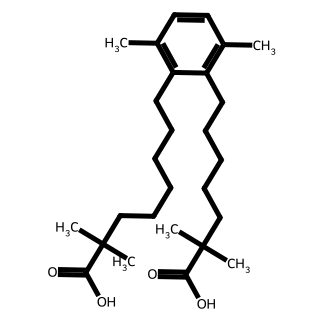 Cc1ccc(C)c(CCCCCC(C)(C)C(=O)O)c1CCCCCCC(C)(C)C(=O)O